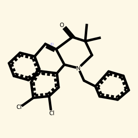 CC1(C)CN(Cc2ccccc2)C(c2ccc(Cl)c(Cl)c2)/C(=C\c2ccccn2)C1=O